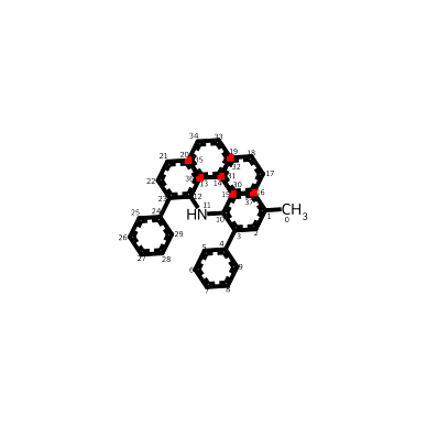 Cc1cc(-c2ccccc2)c(Nc2c(-c3ccccc3)cccc2-c2ccccc2)c(-c2ccccc2)c1